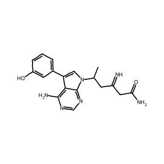 CC(CC(=N)CC(N)=O)n1cc(-c2cccc(O)c2)c2c(N)ncnc21